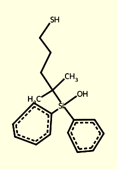 CC(C)(CCCS)[Si](O)(c1ccccc1)c1ccccc1